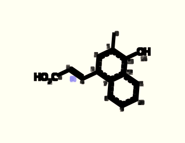 Cc1cc(/C=C/C(=O)O)c2ccccc2c1O